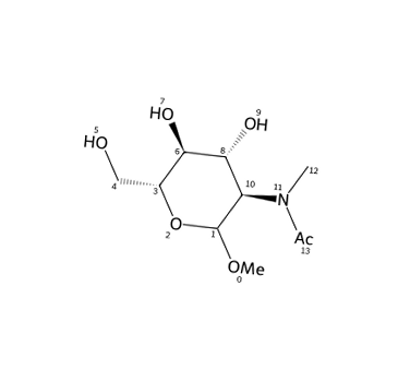 COC1O[C@H](CO)[C@@H](O)[C@H](O)[C@H]1N(C)C(C)=O